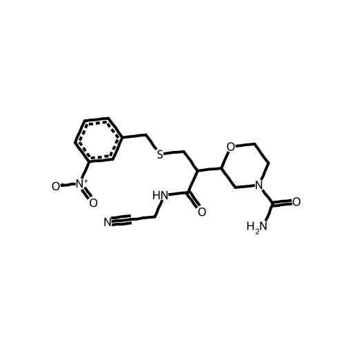 N#CCNC(=O)C(CSCc1cccc([N+](=O)[O-])c1)C1CN(C(N)=O)CCO1